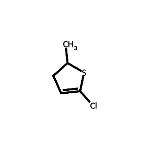 CC1CC=C(Cl)S1